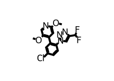 COc1cc(-c2cc(Cl)ccc2-n2cc(C(F)F)nn2)c(OC)cn1